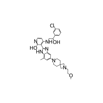 COCCN1CC2(CCN(c3cc(C)c4[nH]c(-c5c(NC[C@H](O)c6cccc(Cl)c6)ccnc5O)nc4c3)CC2)C1